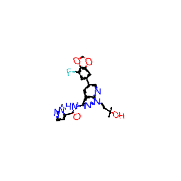 Cn1nccc1C(=O)Nc1nn(CCC(C)(C)O)c2ncc(-c3cc(F)c4c(c3)OCO4)cc12